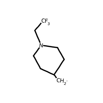 [CH2]C1CCN(CC(F)(F)F)CC1